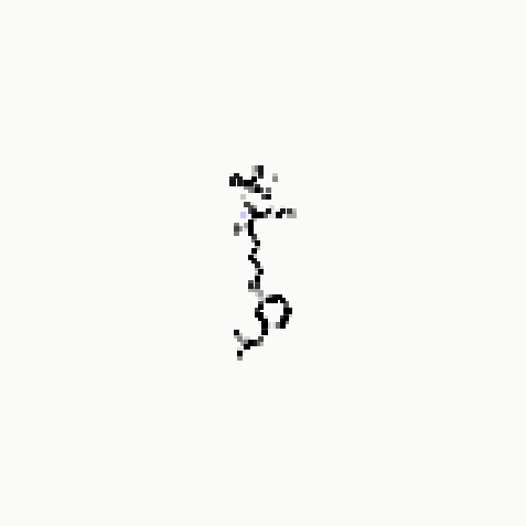 CS/C(=N\S(N)(=O)=O)NCCCOc1cccc(CN(C)C)c1